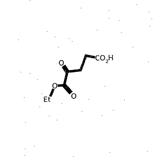 CCOC(=O)C(=O)CCC(=O)O